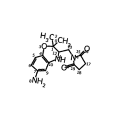 CC1(C)Oc2ccc(N)cc2NC1CN1C(=O)CCC1=O